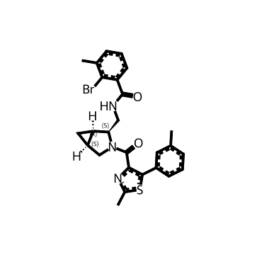 Cc1cccc(-c2sc(C)nc2C(=O)N2C[C@H]3C[C@H]3[C@H]2CNC(=O)c2cccc(C)c2Br)c1